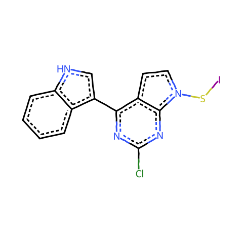 Clc1nc(-c2c[nH]c3ccccc23)c2ccn(SI)c2n1